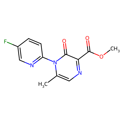 COC(=O)c1ncc(C)n(-c2ccc(F)cn2)c1=O